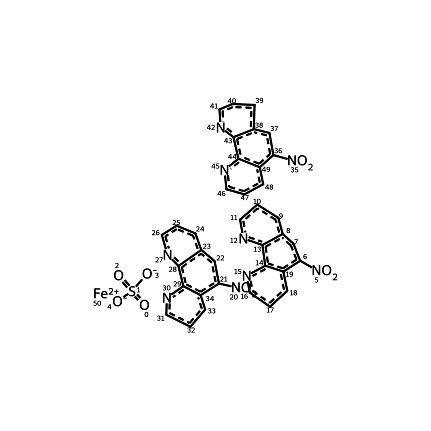 O=S(=O)([O-])[O-].O=[N+]([O-])c1cc2cccnc2c2ncccc12.O=[N+]([O-])c1cc2cccnc2c2ncccc12.O=[N+]([O-])c1cc2cccnc2c2ncccc12.[Fe+2]